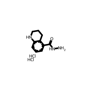 Cl.Cl.NNC(=O)c1cccc2c1CCCN2